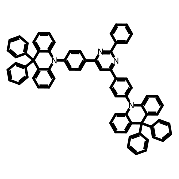 c1ccc(-c2nc(-c3ccc(N4c5ccccc5C(c5ccccc5)(c5ccccc5)c5ccccc54)cc3)cc(-c3ccc(N4c5ccccc5C(c5ccccc5)(c5ccccc5)c5ccccc54)cc3)n2)cc1